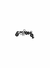 CN(C)c1ccc(C(=O)N2Cc3ccc(C(=O)NCC(O)CN4CCc5ccccc5C4)cc3C2)cc1